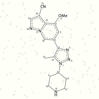 COc1cc(-c2nnn(C3CCNCC3)c2C)cn2ncc(C#N)c12